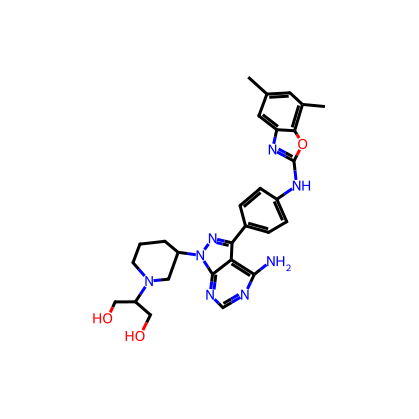 Cc1cc(C)c2oc(Nc3ccc(-c4nn(C5CCCN(C(CO)CO)C5)c5ncnc(N)c45)cc3)nc2c1